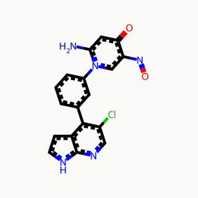 Nc1cc(=O)c(N=O)cn1-c1cccc(-c2c(Cl)cnc3[nH]ccc23)c1